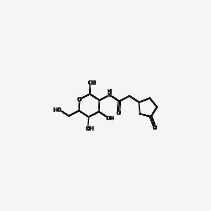 O=C1CCC(CC(=O)NC2C(O)OC(CO)C(O)C2O)C1